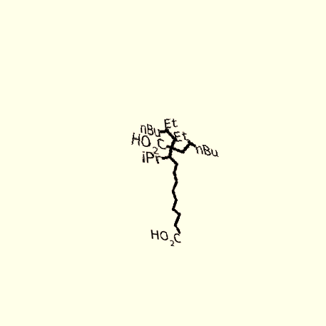 CCCCC(CC)CC(CC(CC)CCCC)(C(=O)O)C(CCCCCCCCCC(=O)O)C(C)C